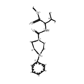 COC(=O)C(NC(=O)N1CCN(c2ccccc2)CC1)C(C)C